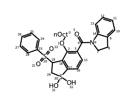 CCCCCCCCOc1c(C(=O)N2CCc3ccccc32)ccc2c1C(S(=O)(=O)c1ccccc1)CS2(O)O